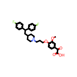 COc1cc(C(=O)C(=O)O)ccc1OCCCN1CCC(CC(c2ccc(F)cc2)c2ccc(F)cc2)CC1